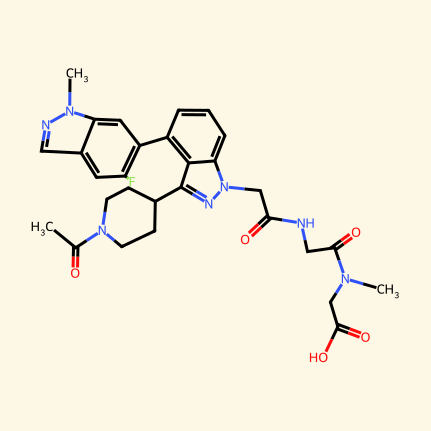 CC(=O)N1CCC(c2nn(CC(=O)NCC(=O)N(C)CC(=O)O)c3cccc(-c4cc5c(cnn5C)cc4F)c23)CC1